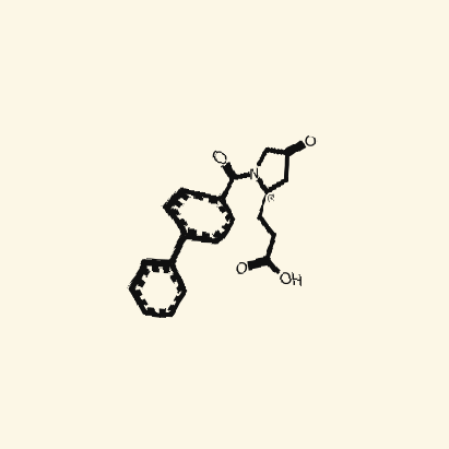 O=C(O)CC[C@@H]1CC(=O)CN1C(=O)c1ccc(-c2ccccc2)cc1